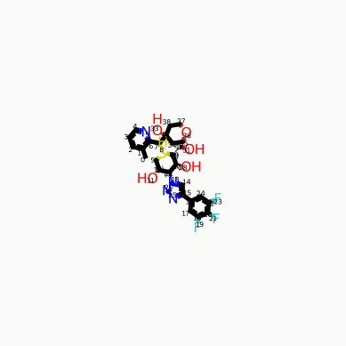 Cc1cccnc1C([SH]1C[C@H](O)[C@H](n2cc(-c3cc(F)c(F)c(F)c3)nn2)[C@@H](O)[C@H]1CO)C1(O)CCOCC1